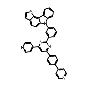 c1cc(-c2nc(-c3ccncc3)cc(-c3ccc(-c4ccncc4)cc3)n2)cc(-n2c3ccccc3c3c4sccc4ccc32)c1